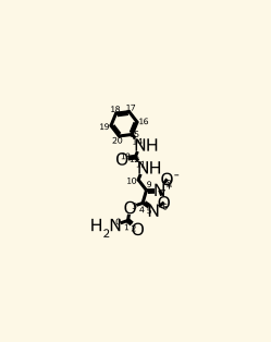 NC(=O)Oc1no[n+]([O-])c1CNC(=O)Nc1ccccc1